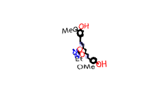 CCN1C=CN(C)C1.COc1cc(/C=C/C(=O)CC(=O)/C=C/c2ccc(O)c(OC)c2)ccc1O